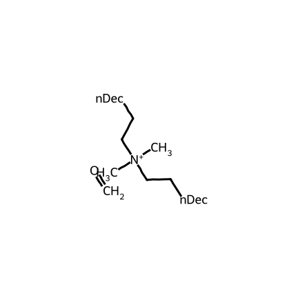 C=O.CCCCCCCCCCCC[N+](C)(C)CCCCCCCCCCCC